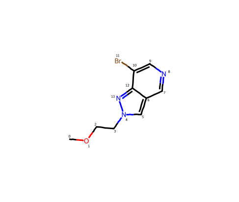 COCCn1cc2cncc(Br)c2n1